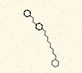 c1ccc(COc2ccc(OCCCCCCCCN3CCCCC3)cc2)cc1